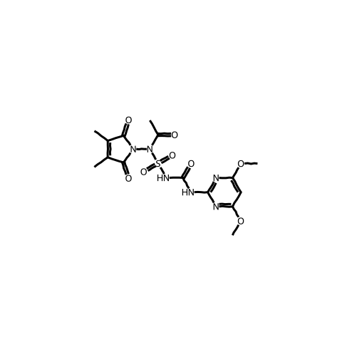 COc1cc(OC)nc(NC(=O)NS(=O)(=O)N(C(C)=O)N2C(=O)C(C)=C(C)C2=O)n1